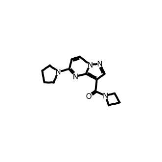 O=C(c1cnn2ccc(N3CCCC3)nc12)N1CCC1